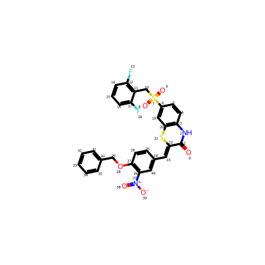 O=C1Nc2ccc(S(=O)(=O)Cc3c(F)cccc3F)cc2SC1=Cc1ccc(OCc2ccccc2)c([N+](=O)[O-])c1